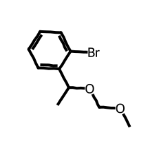 COCOC(C)c1ccccc1Br